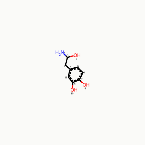 NC(O)Cc1ccc(O)c(O)c1